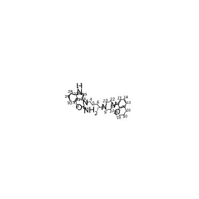 NC(=O)N(CCCCN1CCN(c2cccc3c2OCCC3)CC1)c1c[nH]c2ccccc12